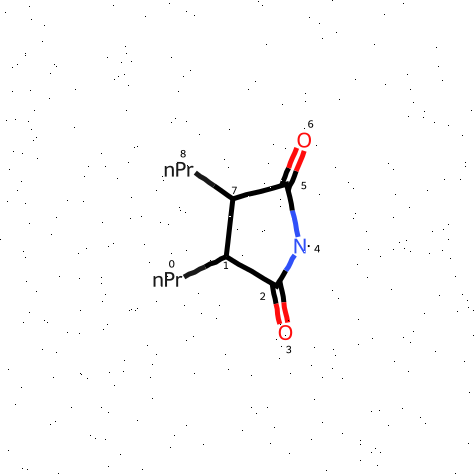 CCCC1C(=O)[N]C(=O)C1CCC